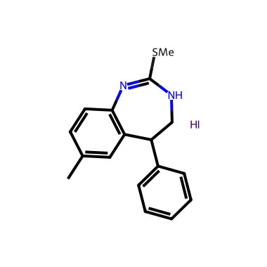 CSC1=Nc2ccc(C)cc2C(c2ccccc2)CN1.I